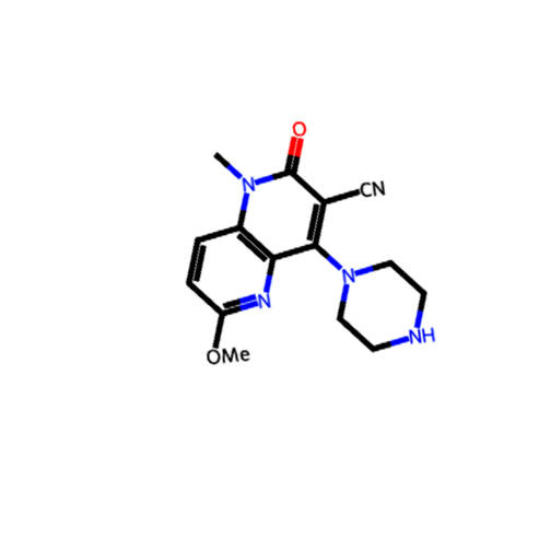 COc1ccc2c(n1)c(N1CCNCC1)c(C#N)c(=O)n2C